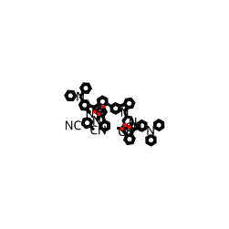 C/C(C#N)=C(C#N)\C=C(/Cn1c2ccc(N(c3ccccc3)c3ccccc3)cc2c2c3ccccc3ccc21)n1c2ccccc2c2cc(-c3cccc4c3ccc3c4c4cc(N(c5ccccc5)c5ccccc5)ccc4n3-c3cc(C#N)cc(C#N)c3-n3c4ccccc4c4ccccc43)ccc21